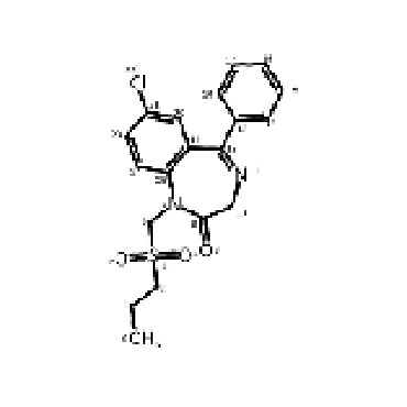 CCCS(=O)(=O)CN1C(=O)CN=C(c2ccccc2)c2cc(Cl)ccc21